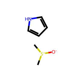 C[S+](C)[O-].c1cc[nH]c1